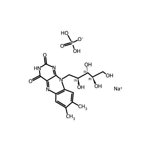 Cc1cc2nc3c(=O)[nH]c(=O)nc-3n(C[C@H](O)[C@H](O)[C@H](O)CO)c2cc1C.O=P([O-])(O)O.[Na+]